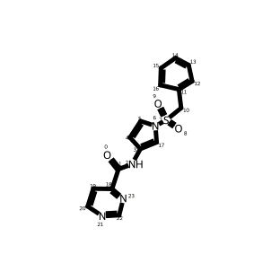 O=C(Nc1ccn(S(=O)(=O)Cc2ccccc2)c1)c1ccncn1